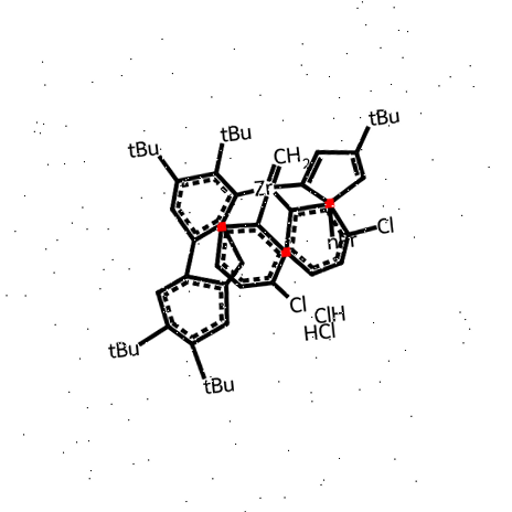 Cl.Cl.[CH2]=[Zr]([C]1=CC(C(C)(C)C)=CC1CCC)([c]1cccc(Cl)c1)([c]1cccc(Cl)c1)[c]1c2c(cc(C(C)(C)C)c1C(C)(C)C)-c1cc(C(C)(C)C)c(C(C)(C)C)cc1C2